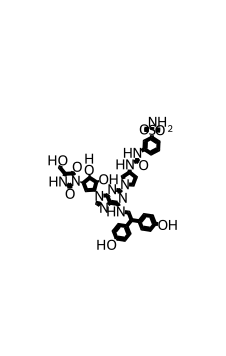 NS(=O)(=O)c1cccc(NC(=O)NC2CCN(c3nc(NCC(c4ccc(O)cc4)c4ccc(O)cc4)c4ncn([C@@H]5C[C@H](N6C(=O)NC(CO)C6=O)[C@@H](O)[C@H]5O)c4n3)C2)c1